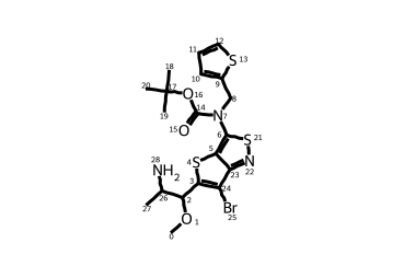 COC(c1sc2c(N(Cc3cccs3)C(=O)OC(C)(C)C)snc2c1Br)C(C)N